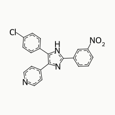 O=[N+]([O-])c1cccc(-c2nc(-c3ccncc3)c(-c3ccc(Cl)cc3)[nH]2)c1